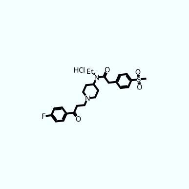 CCN(C(=O)Cc1ccc(S(C)(=O)=O)cc1)C1CCN(CCC(=O)c2ccc(F)cc2)CC1.Cl